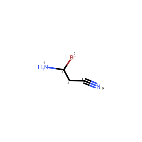 N#CCC(N)Br